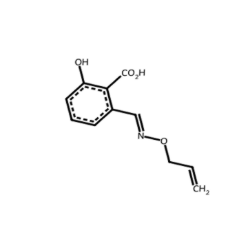 C=CCO/N=C/c1cccc(O)c1C(=O)O